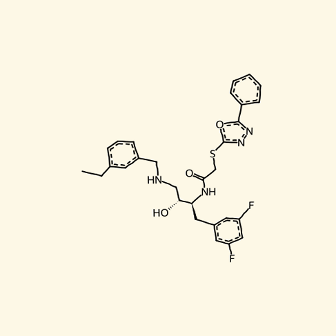 CCc1cccc(CNC[C@@H](O)[C@H](Cc2cc(F)cc(F)c2)NC(=O)CSc2nnc(-c3ccccc3)o2)c1